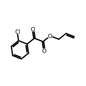 C=CCOC(=O)C(=O)c1ccccc1Cl